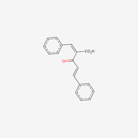 O=C(O)C(=Cc1ccccc1)C(=O)C=Cc1ccccc1